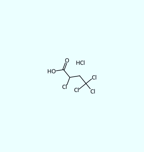 Cl.O=C(O)C(Cl)CC(Cl)(Cl)Cl